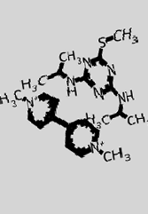 CSc1nc(NC(C)C)nc(NC(C)C)n1.C[n+]1ccc(-c2cc[n+](C)cc2)cc1